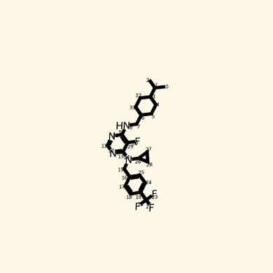 CC(C)C1CCC(CNc2ncnc(N(Cc3ccc(C(F)(F)F)cc3)C3CC3)c2F)CC1